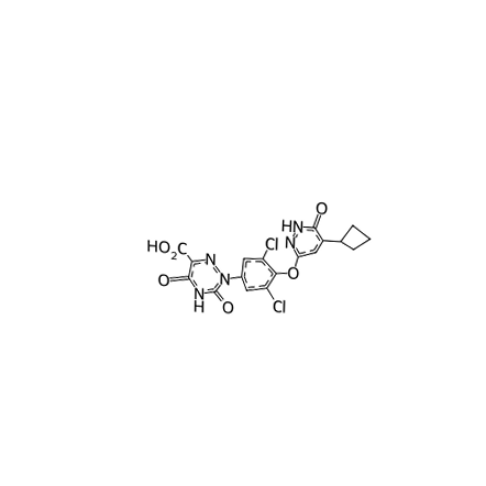 O=C(O)c1nn(-c2cc(Cl)c(Oc3cc(C4CCC4)c(=O)[nH]n3)c(Cl)c2)c(=O)[nH]c1=O